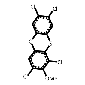 COc1c(Cl)cc2c(c1Cl)Sc1cc(Cl)c(Cl)cc1O2